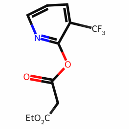 CCOC(=O)CC(=O)Oc1ncccc1C(F)(F)F